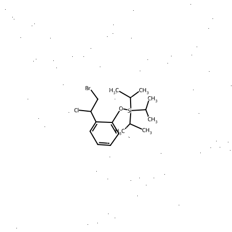 CC(C)[Si](Oc1ccccc1C(Cl)CBr)(C(C)C)C(C)C